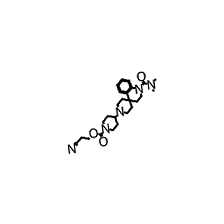 CN(C)C(=O)N1CCC2(CCN(C3CCN(C(=O)OCCC#N)CC3)CC2)c2ccccc21